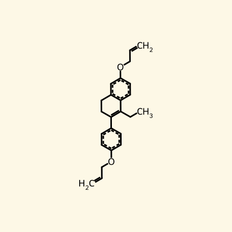 C=CCOc1ccc(C2=C(CC)c3ccc(OCC=C)cc3CC2)cc1